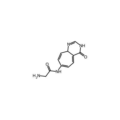 NCC(=O)NC1=CC=C2C(=O)NC=NC2C=C1